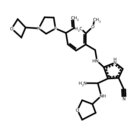 C=CC(/C=C\C(CNc1[nH]cc(C#N)c1C(N)NC1CCOC1)=C(/C)OC)P1CCN(C2COC2)C1